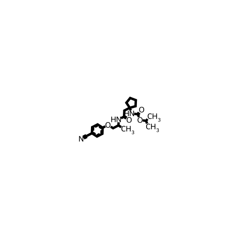 CC(COc1ccc(C#N)cc1)NC(=O)CC1(NC(=O)OC(C)C)CCCC1